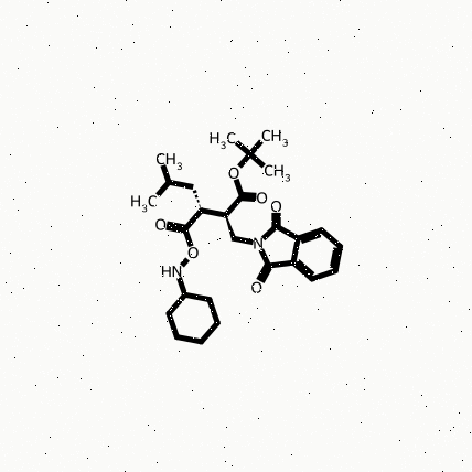 CC(C)C[C@@H](C(=O)ONC1CCCCC1)[C@H](CN1C(=O)c2ccccc2C1=O)C(=O)OC(C)(C)C